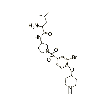 CC(C)C[C@H](N)C(=O)N[C@@H]1CCN(S(=O)(=O)c2ccc(OC3CCNCC3)c(Br)c2)C1